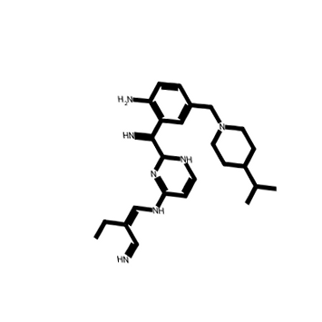 CC/C(C=N)=C/NC1=NC(C(=N)c2cc(CN3CCC(C(C)C)CC3)ccc2N)NC=C1